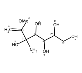 C=C(OC)C(C)(O)C(O)C(O)C(O)CO